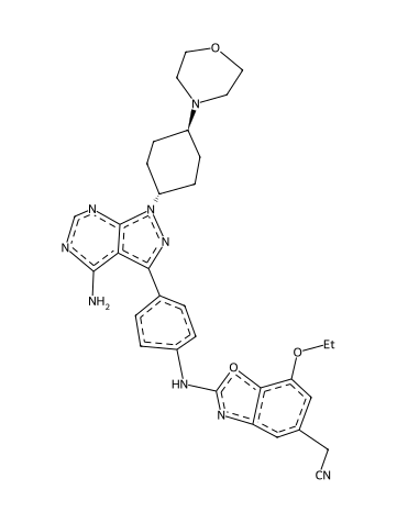 CCOc1cc(CC#N)cc2nc(Nc3ccc(-c4nn([C@H]5CC[C@H](N6CCOCC6)CC5)c5ncnc(N)c45)cc3)oc12